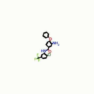 Nc1cc(C(=O)Nc2cc(C(F)(F)F)ccc2Cl)ccc1Oc1ccccc1